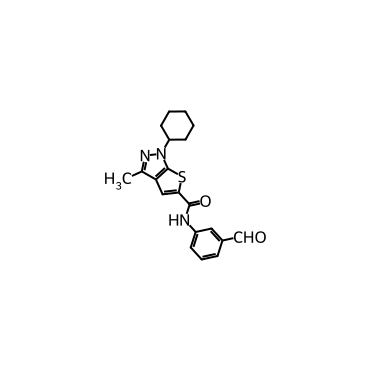 Cc1nn(C2CCCCC2)c2sc(C(=O)Nc3cccc(C=O)c3)cc12